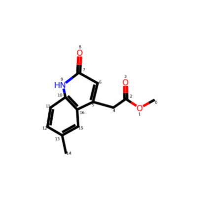 COC(=O)Cc1cc(=O)[nH]c2ccc(C)cc12